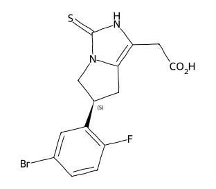 O=C(O)Cc1[nH]c(=S)n2c1C[C@@H](c1cc(Br)ccc1F)C2